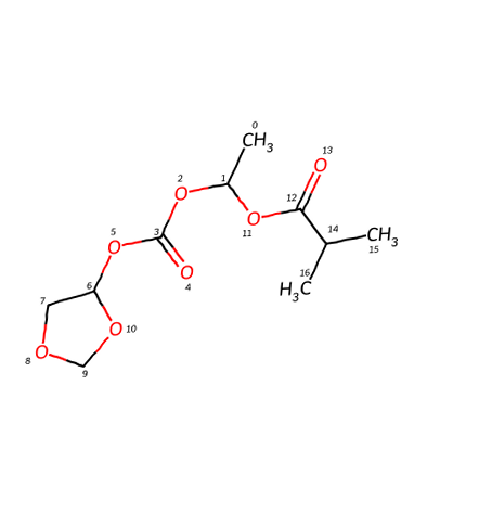 CC(OC(=O)OC1COCO1)OC(=O)C(C)C